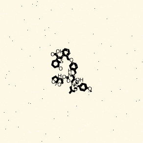 COc1ccc(S(=O)(=O)N(CC(C)C)C[C@@H](O)[C@H](Cc2ccc(OCc3ccccc3-c3sc4c(c3C(=O)O)CCCC4=O)cc2)NC(=O)O[C@H]2CO[C@@]3(C)OCC[C@@H]23)cc1